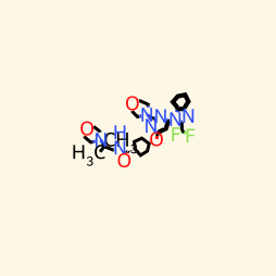 CC(C)(CNC(=O)[C@H]1CC[C@H](Oc2cc(-n3c(C(F)F)nc4ccccc43)nc(N3CCOCC3)n2)CC1)N1CCOCC1